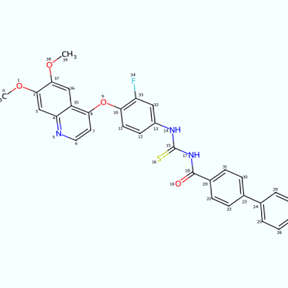 COc1cc2nccc(Oc3ccc(NC(=S)NC(=O)c4ccc(-c5ccccc5)cc4)cc3F)c2cc1OC